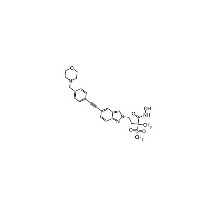 CC(CCn1cc2cc(C#Cc3ccc(CN4CCOCC4)cc3)ccc2n1)(C(=O)NO)S(C)(=O)=O